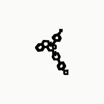 O=C(c1ccc(F)cc1)N1CCc2ccccc2C1CCN1CCC(c2ccc(Cl)cc2)CC1